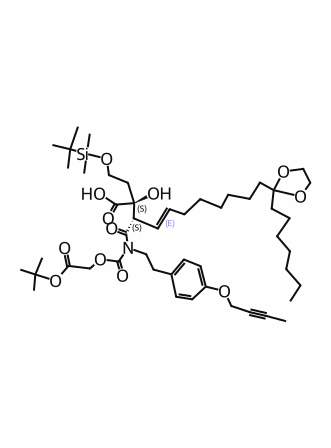 CC#CCOc1ccc(CCN(C(=O)OCC(=O)OC(C)(C)C)C(=O)[C@@H](/C=C/CCCCCCC2(CCCCCCC)OCCO2)[C@@](O)(CCO[Si](C)(C)C(C)(C)C)C(=O)O)cc1